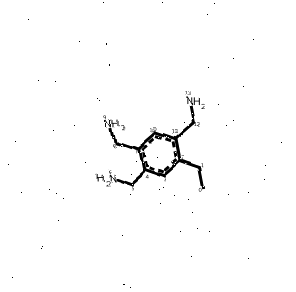 CCc1cc(CN)c(CN)cc1CN